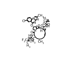 Cc1cn2c(n1)nc(O[C@@H]1C[C@H]3C(=O)N[C@]4(C(=O)NS(=O)(=O)C5(C)CC5)CC4/C=C\CC[C@H](C)C[C@@H](C)[C@H](NC(=O)OC(C)(C)C(F)(F)F)C(=O)N3C1)c1cc(Cl)ccc12